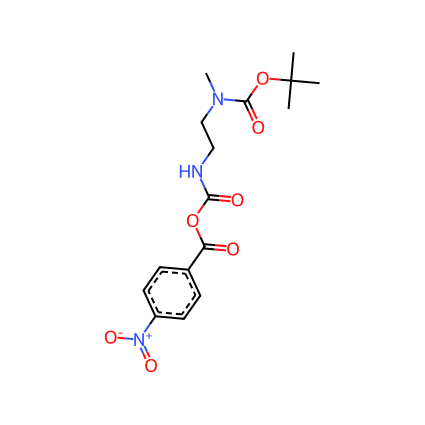 CN(CCNC(=O)OC(=O)c1ccc([N+](=O)[O-])cc1)C(=O)OC(C)(C)C